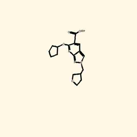 COC(=O)c1cc2cn(CC3CCOC3)nc2nc1OC1CCCC1